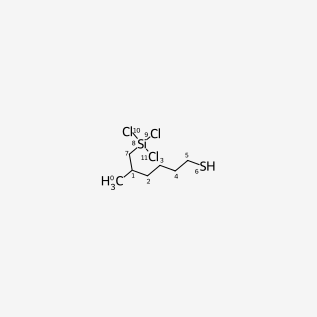 CC(CCCCS)C[Si](Cl)(Cl)Cl